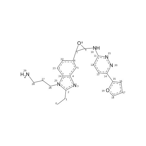 CCc1nc2cc(C3OC3Nc3ccc(-c4ccco4)nn3)ccc2n1CCCN